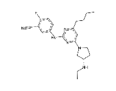 CCCCc1cc(N2CC[C@H](NCC)C2)nc(Nc2ccc(F)c(C#N)c2)n1